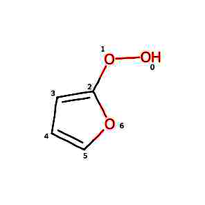 OOc1ccco1